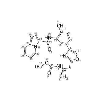 Cc1ccc(-c2noc(C[C@@H](C)NC(=O)OC(C)(C)C)n2)cc1NC(=O)c1cnc2ccccn12